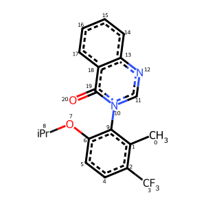 Cc1c(C(F)(F)F)ccc(OC(C)C)c1-n1cnc2ccccc2c1=O